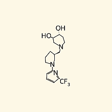 O[C@@H]1CCN(C[C@@H]2CCCN(c3cccc(C(F)(F)F)n3)C2)C[C@H]1O